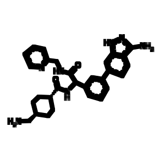 NC[C@H]1CC[C@H](C(=O)NC(C(=O)NCc2ccccn2)c2cccc(-c3ccc4c(N)n[nH]c4c3)c2)CC1